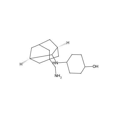 NCC12CC3C[C@H](C1)C(NC1CCC(O)CC1)[C@@H](C3)C2